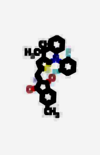 Cc1ccc2c(c1)C(=O)/C(=C/c1cc3c(s1)N(c1c(F)cccc1F)c1ccccc1C3(C)C)C2=O